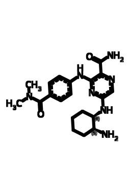 CN(C)C(=O)c1ccc(Nc2nc(N[C@@H]3CCCC[C@@H]3N)cnc2C(N)=O)cc1